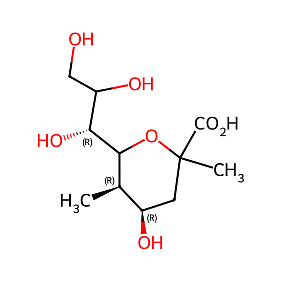 C[C@H]1C([C@H](O)C(O)CO)OC(C)(C(=O)O)C[C@H]1O